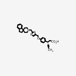 CC#C[C@@H](CC(=O)O)c1ccc(OCc2cnc(CN3CCC4(CCc5ccccc54)CC3)s2)cc1